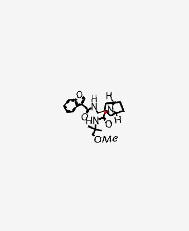 COCC(C)(C)NC(=O)CN1[C@@H]2CC[C@H]1C[C@H](CNC(=O)c1coc3ccccc13)C2